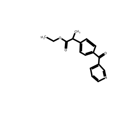 CCOC(=O)C(C)c1ccc(C(=O)c2cccnc2)cc1